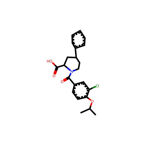 CC(C)Oc1ccc(C(=O)N2CCC(c3ccccc3)CC2C(=O)O)cc1Cl